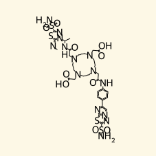 C/N=c1/sc(S(N)(=O)=O)nn1C(C)NC(=O)CN1CCN(CC(=O)O)CCN(CC(=O)Nc2ccc(-c3cn4nc(S(N)(=O)=O)sc4n3)cc2)CCN(CC(=O)O)CC1